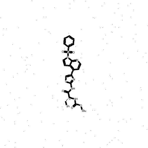 CC(C)C[C@@H](NC(=O)OC(C)(C)C)C(=O)Nc1nc(-c2ccnc3c2ccn3S(=O)(=O)c2ccccc2)cs1